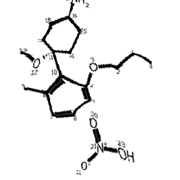 CCCOc1cccc(C)c1[C@]1(OC)CC[C@H](N)CC1.O=[N+]([O-])O